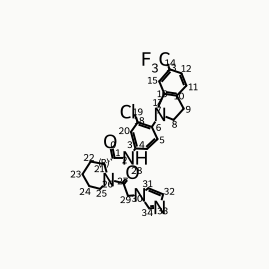 O=C(Nc1ccc(N2CCc3ccc(C(F)(F)F)cc3C2)c(Cl)c1)[C@H]1CCCCN1C(=O)Cn1ccnc1